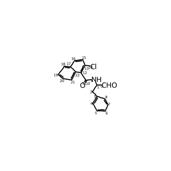 O=CC(Cc1ccccc1)NC(=O)c1c(Cl)ccc2ccccc12